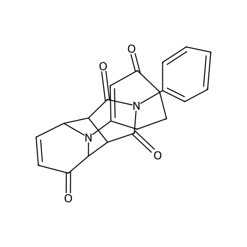 O=C1C=C(N2C3C=CC(=O)C2C2C(=O)N(c4ccccc4)C(=O)C23)CCC1